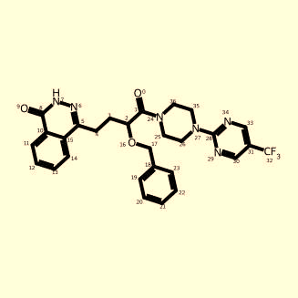 O=C(C(CCc1n[nH]c(=O)c2ccccc12)OCc1ccccc1)N1CCN(c2ncc(C(F)(F)F)cn2)CC1